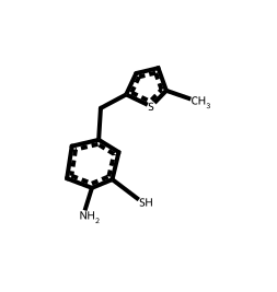 Cc1ccc(Cc2ccc(N)c(S)c2)s1